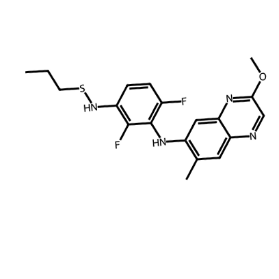 CCCSNc1ccc(F)c(Nc2cc3nc(OC)cnc3cc2C)c1F